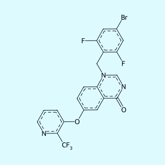 O=c1ncn(Cc2c(F)cc(Br)cc2F)c2ccc(Oc3cccnc3C(F)(F)F)cc12